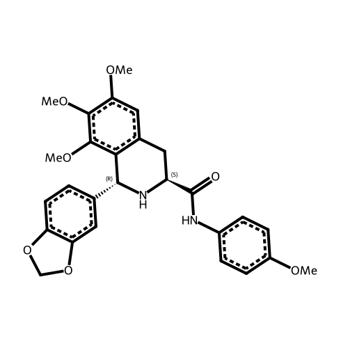 COc1ccc(NC(=O)[C@@H]2Cc3cc(OC)c(OC)c(OC)c3[C@@H](c3ccc4c(c3)OCO4)N2)cc1